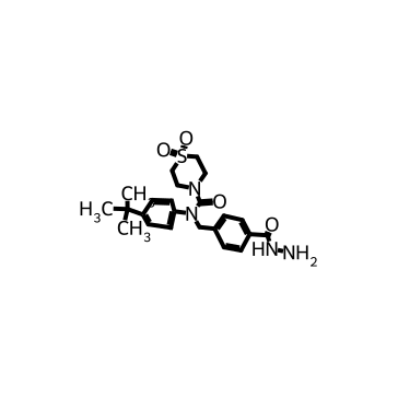 CC(C)(C)c1ccc(N(Cc2ccc(C(=O)NN)cc2)C(=O)N2CCS(=O)(=O)CC2)cc1